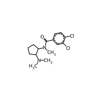 CN(C)C1CCCC1N(C)C(=O)c1ccc(Cl)c(Cl)c1